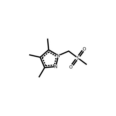 Cc1nn(CS(C)(=O)=O)c(C)c1C